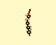 C=CCCOc1ccc(OC(=O)c2ccc(-c3ccc(-c4ccc(C)cc4)c(F)c3F)cc2)cc1F